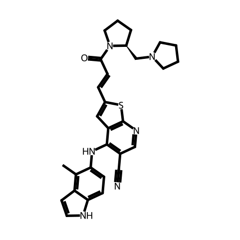 Cc1c(Nc2c(C#N)cnc3sc(/C=C/C(=O)N4CCC[C@H]4CN4CCCC4)cc23)ccc2[nH]ccc12